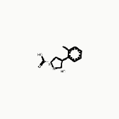 Cc1ccccc1C1CN[C@H](C(=O)O)C1.Cl